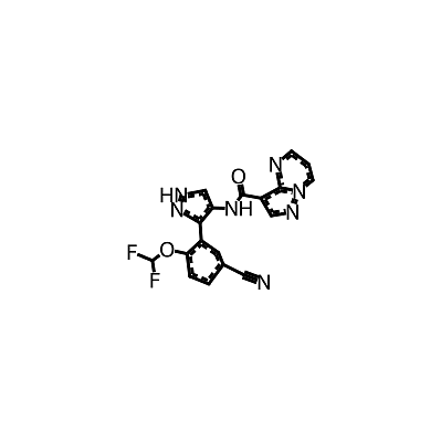 N#Cc1ccc(OC(F)F)c(-c2n[nH]cc2NC(=O)c2cnn3cccnc23)c1